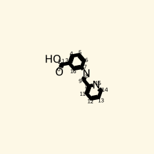 O=C(O)c1cccc(N=Cc2ccccn2)c1